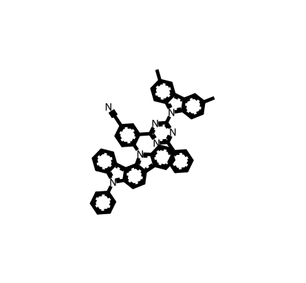 Cc1ccc2c(c1)c1cc(C)ccc1n2-c1nc(-c2ccccc2)nc(-c2cc(C#N)ccc2-n2c3ccccc3c3ccc4c(c5ccccc5n4-c4ccccc4)c32)n1